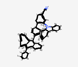 N#Cc1ccc(-c2ccc(-c3c4ccccc4c(-c4ccccc4)c4ccccc34)cc2)c(-n2c3ccccc3c3ccccc32)c1